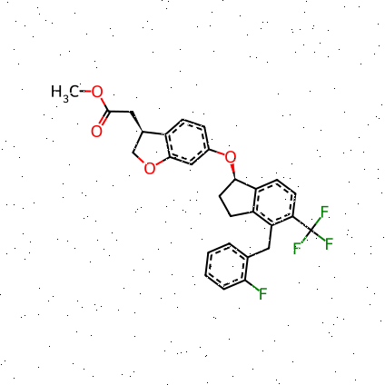 COC(=O)C[C@@H]1COc2cc(O[C@@H]3CCc4c3ccc(C(F)(F)F)c4Cc3ccccc3F)ccc21